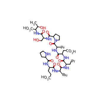 CCC(C)C(NC(=O)C(CCC(=O)O)NC(=O)C1CCCN1)C(=O)NC(CC(C)C)C(=O)NC(CC(=O)O)C(=O)NC(C(=O)N1CCCC1C(=O)NC(CO)C(=O)NC(C(=O)O)C(C)O)C(C)C